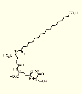 O=C(O)CCCCCCCCCCCCCCCCC(=O)NC(CCC(=O)N[C@@H](CCC(=O)N[C@@H](CO)C(=O)S)C(=O)O)C(=O)O